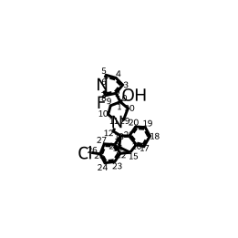 OC1(c2cccnc2F)CCN(CC23CC(c4ccccc42)c2ccc(Cl)cc23)CC1